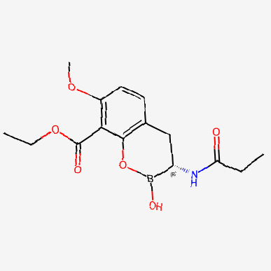 CCOC(=O)c1c(OC)ccc2c1OB(O)[C@@H](NC(=O)CC)C2